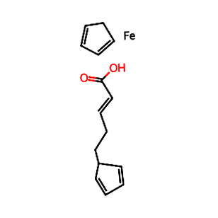 C1=CCC=C1.O=C(O)C=CCCC1C=CC=C1.[Fe]